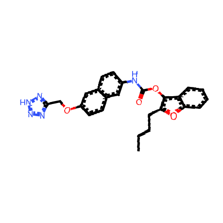 CCCCc1oc2ccccc2c1OC(=O)Nc1ccc2cc(OCc3nn[nH]n3)ccc2c1